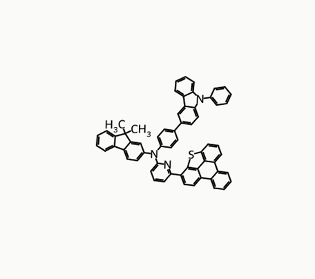 CC1(C)c2ccccc2-c2ccc(N(c3ccc(-c4ccc5c(c4)c4ccccc4n5-c4ccccc4)cc3)c3cccc(-c4ccc5c6ccccc6c6cccc7sc4c5c76)n3)cc21